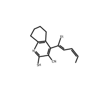 C/C=C\C=C(/CC)c1c(C#N)c(S)nc2c1CCCC2